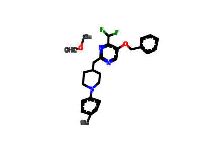 CC(C)(C)OC=O.CC(C)(C)c1ccc(N2CCC(Cc3ncc(OCc4ccccc4)c(C(F)F)n3)CC2)cc1